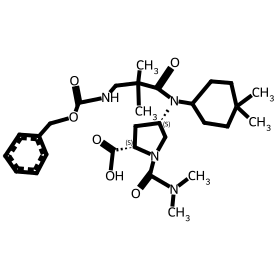 CN(C)C(=O)N1C[C@@H](N(C(=O)C(C)(C)CNC(=O)OCc2ccccc2)C2CCC(C)(C)CC2)C[C@H]1C(=O)O